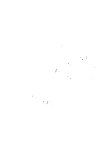 Cc1cc(Nc2ncc(-c3ncco3)c(N[C@H](CO)c3ccccc3)n2)ccc1C(N)=O